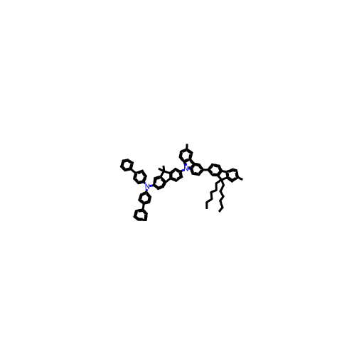 CCCCCCC1(CCCCCC)c2cc(C)ccc2-c2ccc(-c3ccc4c(c3)c3cc(C)ccc3n4-c3ccc4c(c3)C(C)(C)c3cc(N(c5ccc(-c6ccccc6)cc5)c5ccc(-c6ccccc6)cc5)ccc3-4)cc21